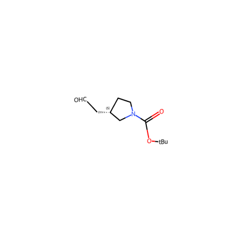 CC(C)(C)OC(=O)N1CC[C@@H](CC=O)C1